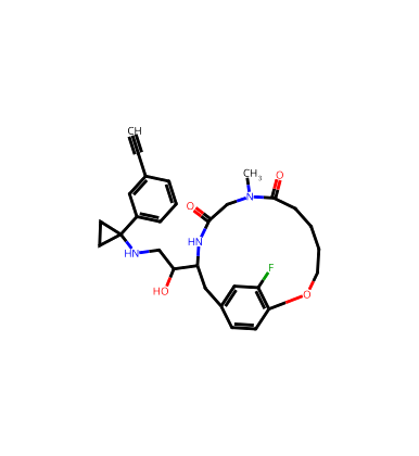 C#Cc1cccc(C2(NCC(O)C3Cc4ccc(c(F)c4)OCCCCC(=O)N(C)CC(=O)N3)CC2)c1